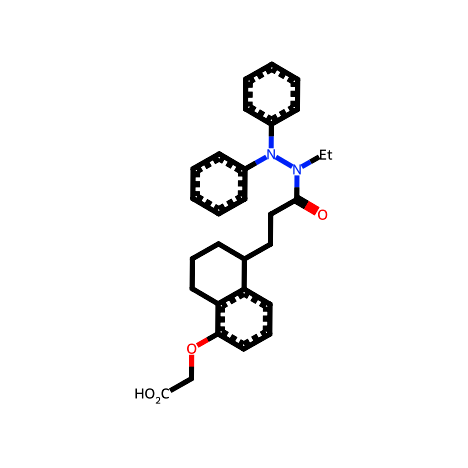 CCN(C(=O)CCC1CCCc2c(OCC(=O)O)cccc21)N(c1ccccc1)c1ccccc1